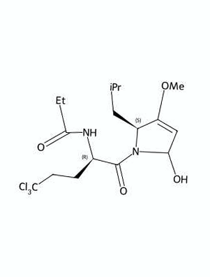 CCC(=O)N[C@H](CCC(Cl)(Cl)Cl)C(=O)N1C(O)C=C(OC)[C@@H]1CC(C)C